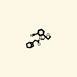 N#Cc1cccc([C@@]2(CNC(=O)CC3CC4CCC3C4)CCO2)c1